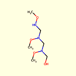 CONCN(CN(CO)OC)OC